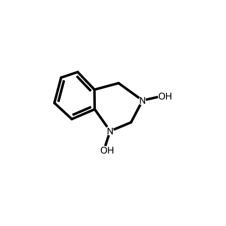 ON1Cc2ccccc2N(O)C1